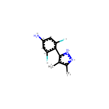 Cc1c(C(F)(F)F)n[nH]c1-c1c(F)cc(N)cc1F